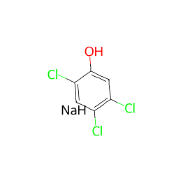 Oc1cc(Cl)c(Cl)cc1Cl.[NaH]